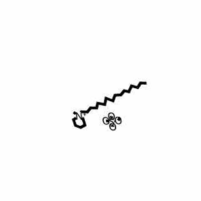 CCCCCCCCCCCCCCCC[N+]1(C)CCCCC1.COS(=O)(=O)[O-]